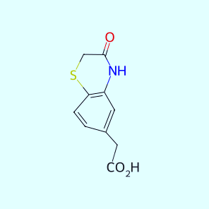 O=C(O)Cc1ccc2c(c1)NC(=O)CS2